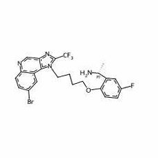 C[C@@H](N)c1cc(F)ccc1OCCCCn1c(C(F)(F)F)nc2cnc3ccc(Br)cc3c21